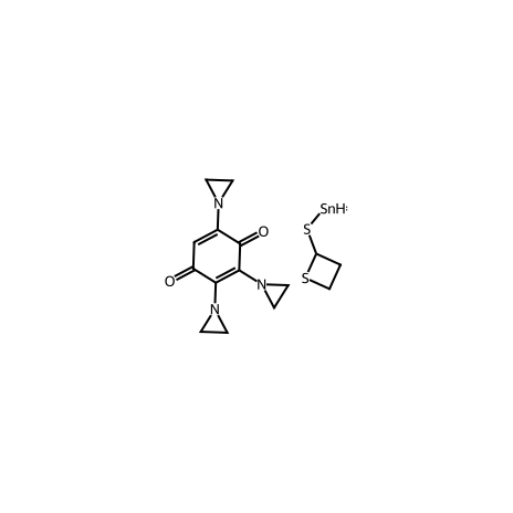 O=C1C=C(N2CC2)C(=O)C(N2CC2)=C1N1CC1.[SnH][S]C1CCS1